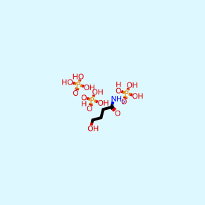 NC(=O)CCCO.O=P(O)(O)O.O=P(O)(O)O.O=P(O)(O)O